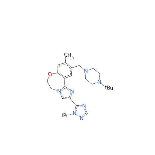 Cc1cc2c(cc1CN1CCN(C(C)(C)C)CC1)-c1nc(-c3ncnn3C(C)C)cn1CCO2